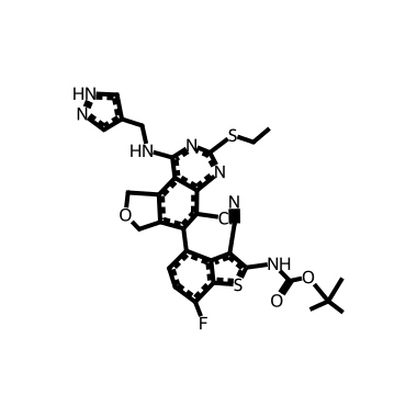 CCSc1nc(NCc2cn[nH]c2)c2c3c(c(-c4ccc(F)c5sc(NC(=O)OC(C)(C)C)c(C#N)c45)c(Cl)c2n1)COC3